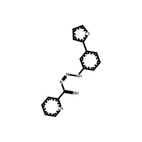 N=C(/N=N\Nc1cccc(-c2cccs2)c1)c1ccccn1